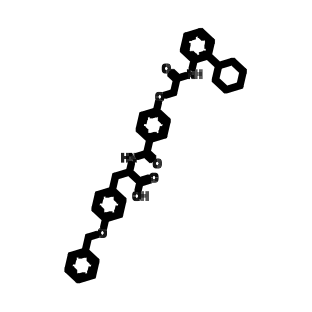 O=C(COc1ccc(C(=O)NC(Cc2ccc(OCc3ccccc3)cc2)C(=O)O)cc1)Nc1ccccc1C1CCCCC1